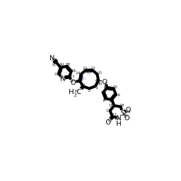 C=C1CC[C@@H](Oc2ccc(C3CC(=O)NS(=O)(=O)C3)cc2)C/C=C\C=C/1Oc1ccc(C#N)cn1